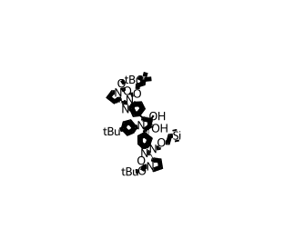 CC(C)(C)OC(=O)N1CCC[C@H]1c1nc2cc([C@H]3[C@@H](O)[C@H](O)[C@H](c4ccc5nc([C@@H]6CCCN6C(=O)OC(C)(C)C)n(COCC[Si](C)(C)C)c5c4)N3c3ccc(C(C)(C)C)cc3)ccc2n1COCC[Si](C)(C)C